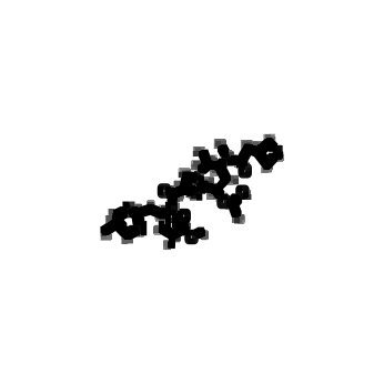 COC(=O)[C@@H](C)C[C@H](Cc1ncc(C)cn1)NC(=O)c1csc([C@@H](CC(C(C)C)N(C)C(=O)CC2CSC2)OC(C)=O)n1